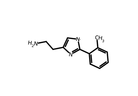 Cc1ccccc1C1=NC(CCN)=C[N]1